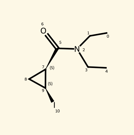 CCN(CC)C(=O)[C@@H]1C[C@@H]1I